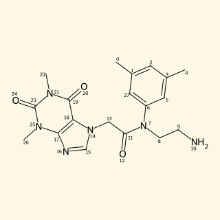 Cc1cc(C)cc(N(CCN)C(=O)Cn2cnc3c2c(=O)n(C)c(=O)n3C)c1